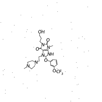 CN1CCN(CCN2c3c(n(C)c(=O)n(CCCO)c3=O)NC2Oc2cccc(OC(F)(F)F)c2)CC1